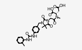 Cc1ccccc1NC(=O)Nc1ccc(CN2C(=O)N(CC(=O)N(C)[C@@H](CC(=O)O)C(=O)O)C(=O)C2(C)C)cc1